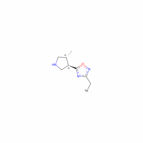 [2H]Cc1noc([C@H]2CNC[C@@H]2C)n1